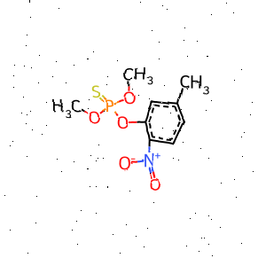 COP(=S)(OC)Oc1cc(C)ccc1[N+](=O)[O-]